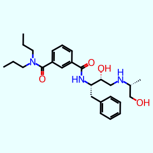 CCCN(CCC)C(=O)c1cccc(C(=O)N[C@@H](Cc2ccccc2)[C@H](O)CN[C@H](C)CO)c1